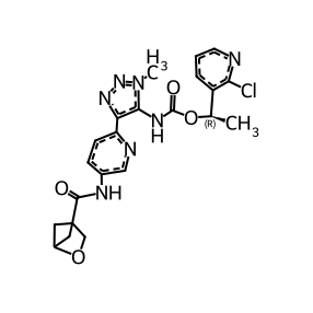 C[C@@H](OC(=O)Nc1c(-c2ccc(NC(=O)C34COC(C3)C4)cn2)nnn1C)c1cccnc1Cl